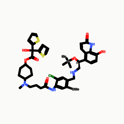 COc1cc(NC(=O)CCCN(C)C2CCC(OC(=O)C(O)(c3cccs3)c3cccs3)CC2)c(Cl)cc1CNC[C@@H](O[Si](C)(C)C(C)(C)C)c1ccc(O)c2[nH]c(=O)ccc12